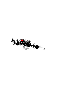 C[C@@H]1C[C@H](COC(=O)Oc2ccc([N+](=O)[O-])cc2)O[C@H]2[C@H]1[C@@]1(C)CC[C@@]34C[C@@]35CC[C@H](O[C@H]3CN(C(=O)CC6CC6)CCO3)C(C)(C)[C@@H]5CC[C@H]4[C@]1(C)[C@H]2O